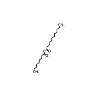 CCCCCCCCCCCC(=O)OC(=O)CCCCCCCC